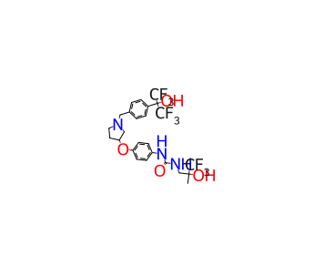 CC(O)(CNC(=O)Nc1ccc(OC2CCN(Cc3ccc(C(O)(C(F)(F)F)C(F)(F)F)cc3)C2)cc1)C(F)(F)F